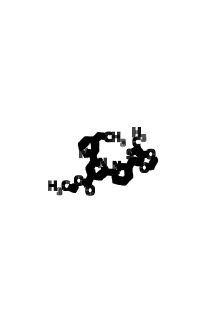 CCOC(=O)c1cc(-c2cc(CC)ccn2)nc(-c2cccc(-c3sc(C)c4c3OCCO4)n2)c1